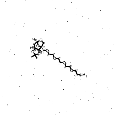 CC1(C)O[C@@H]2[C@@H](C[C@H]3OC[C@]2(COCCOCCOCCOCCN)O3)O1